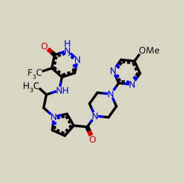 COc1cnc(N2CCN(C(=O)c3ccn(CC(C)Nc4cn[nH]c(=O)c4C(F)(F)F)c3)CC2)nc1